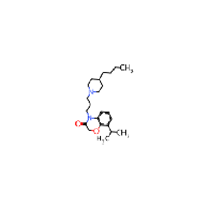 CCCCC1CCN(CCCN2C(=O)COc3c(C(C)C)cccc32)CC1